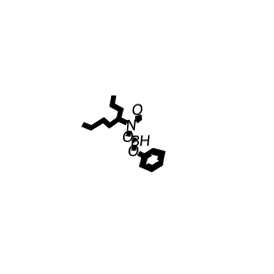 CCCCC(CCC)N(C=O)OBOc1ccccc1